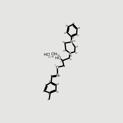 Cc1ccc(C=NOCC(O)CN2CCN(c3ccccc3)CC2)cc1.Cl.Cl